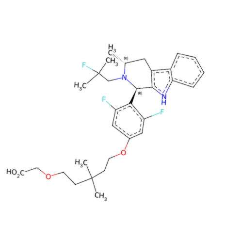 C[C@@H]1Cc2c([nH]c3ccccc23)[C@@H](c2c(F)cc(OCCC(C)(C)CCOCC(=O)O)cc2F)N1CC(C)(C)F